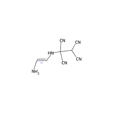 N#CC(C#N)C(C#N)(C#N)N/C=C/N